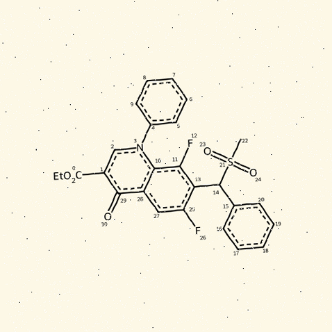 CCOC(=O)c1cn(-c2ccccc2)c2c(F)c(C(c3ccccc3)S(C)(=O)=O)c(F)cc2c1=O